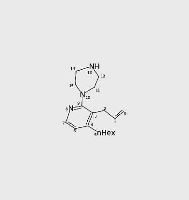 C=CCc1c(CCCCCC)ccnc1N1CCNCC1